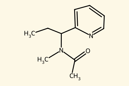 CCC(c1ccccn1)N(C)C(C)=O